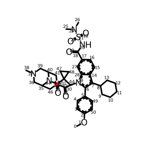 COc1ccc(-c2c(C3CCCCC3)c3ccc(C(=O)NS(=O)(=O)N(C)C)cc3n2CC2(C(=O)N3C4CN(C)CC3CN(C(C)=O)C4)CC2)cc1